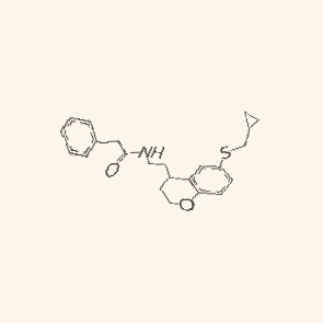 O=C(Cc1ccccc1)NCCC1CCOc2ccc(SCC3CC3)cc21